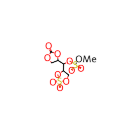 COS(=O)(=O)OC(C1COC(=O)O1)C1COS(=O)(=O)O1